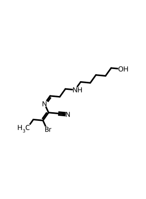 CC/C(Br)=C(C#N)\N=C/CCNCCCCCO